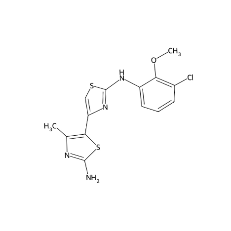 COc1c(Cl)cccc1Nc1nc(-c2sc(N)nc2C)cs1